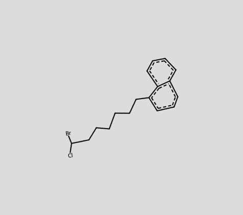 ClC(Br)CCCCCCc1cccc2ccccc12